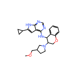 COCC1CCN(C2COc3ccccc3C2Nc2ncnc3[nH]c(C4CC4)cc23)C1